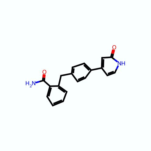 NC(=O)c1ccccc1Cc1ccc(-c2cc[nH]c(=O)c2)cc1